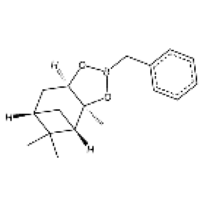 CC1(C)[C@@H]2C[C@H]3OB(Cc4ccccc4)O[C@@]3(C)[C@H]1C2